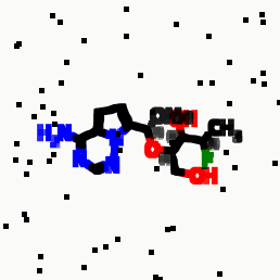 CO[C@H](O[C@H](CO)[C@@H](O)[C@@H](C)F)c1ccc2c(N)ncnn12